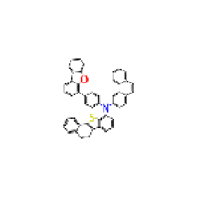 c1ccc2c(c1)ccc1ccc(N(c3ccc(-c4cccc5c4oc4ccccc45)cc3)c3cccc4c3sc3c5ccccc5ccc43)cc12